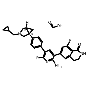 Nc1nc(F)c(-c2ccc([C@]34C[C@H]3CN(CC3CC3)C4)cc2)cc1-c1cc(F)c2c(c1)CCNC2=O.O=CO